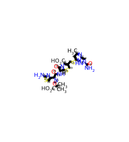 CC1=NC2=CN(C(N)=O)NN2C(SCC2=C(C(=O)O)N3C(=O)[C@@H](NC(=O)C(=NOC(C)(C)C(=O)O)c4csc(N)n4)[C@H]3SC2)=C1